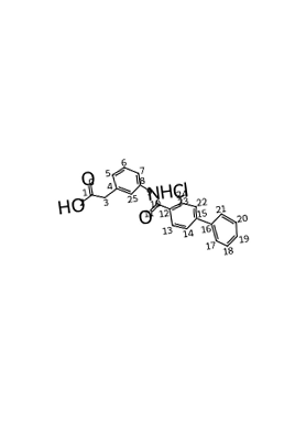 O=C(O)Cc1cccc(NC(=O)c2ccc(-c3ccccc3)cc2Cl)c1